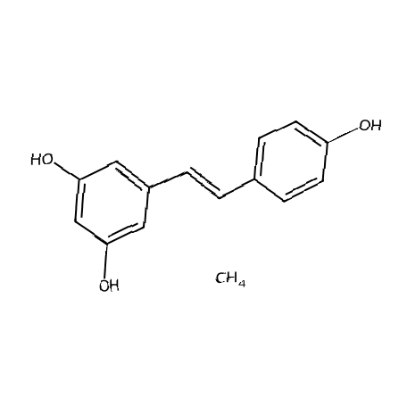 C.Oc1ccc(C=Cc2cc(O)cc(O)c2)cc1